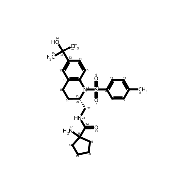 Cc1ccc(S(=O)(=O)N2c3ccc(C(O)(C(F)(F)F)C(F)(F)F)cc3CC[C@H]2CNC(=O)C2(N)CCCC2)cc1